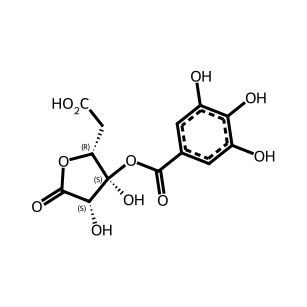 O=C(O)C[C@H]1OC(=O)[C@@H](O)[C@]1(O)OC(=O)c1cc(O)c(O)c(O)c1